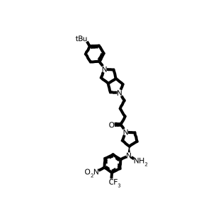 CC(C)(C)C1=CC=C(N2CC3CN(CCCC(=O)N4CC[C@@H](N(N)c5ccc([N+](=O)[O-])c(C(F)(F)F)c5)C4)CC3C2)CC1